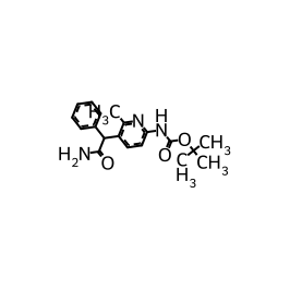 Cc1nc(NC(=O)OC(C)(C)C)ccc1C(C(N)=O)c1ccccc1